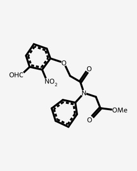 COC(=O)CN(C(=O)COc1cccc(C=O)c1[N+](=O)[O-])c1ccccc1